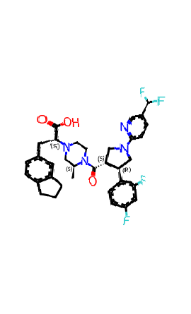 C[C@H]1CN([C@@H](Cc2ccc3c(c2)CCC3)C(=O)O)CCN1C(=O)[C@@H]1CN(c2ccc(C(F)F)cn2)C[C@H]1c1ccc(F)cc1F